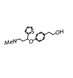 CNCCC(Oc1ccc(CCO)cc1)c1cccs1